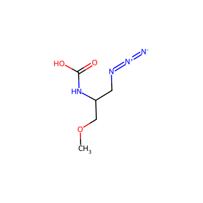 COCC(CN=[N+]=[N-])NC(=O)O